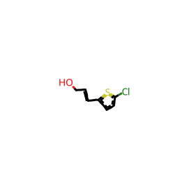 OCC=Cc1ccc(Cl)s1